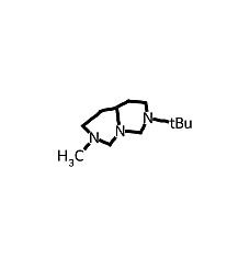 CN1CCC2CCN(C(C)(C)C)CN2C1